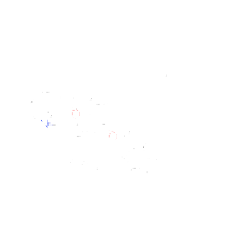 CCCCCCCCCCc1cc(OCc2ccccc2)c(C2=C(CC#N)CCC(CC)C2)c(OCc2ccccc2)c1